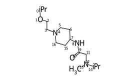 CC(C)OCCN1CCC(NC(=O)CN(C)C(C)C)CC1